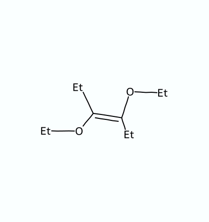 CCO/C(CC)=C(\CC)OCC